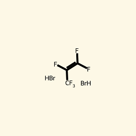 Br.Br.FC(F)=C(F)C(F)(F)F